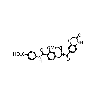 COc1cc(CN(C(=O)c2ccc3c(c2)OCC(=O)N3)C2CC2)ccc1C(=O)Nc1ccc(C(=O)O)cc1